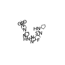 Cc1nc(NC2CCCC2)sc1-c1nc(Nc2ccc(N3CCN(S(C)(=O)=O)CC3)cn2)ncc1F